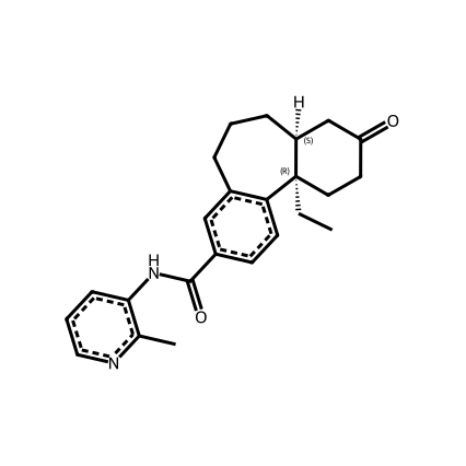 CC[C@@]12CCC(=O)C[C@@H]1CCCc1cc(C(=O)Nc3cccnc3C)ccc12